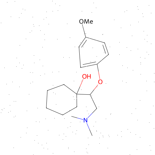 COc1ccc(OC(CN(C)C)C2(O)CCCCC2)cc1